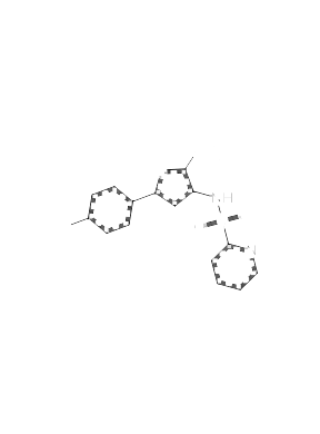 O=C(O)c1sc(-c2ccc(F)cc2)cc1NS(=O)(=O)c1ccccn1